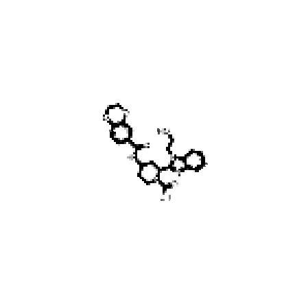 O=C(NC1CCN(C(=O)O)C(c2nc3ccccc3n2CCO)C1)c1ccc2c(c1)OCCO2